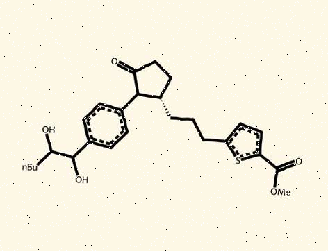 CCCCC(O)C(O)c1ccc(C2C(=O)CC[C@@H]2CCCc2ccc(C(=O)OC)s2)cc1